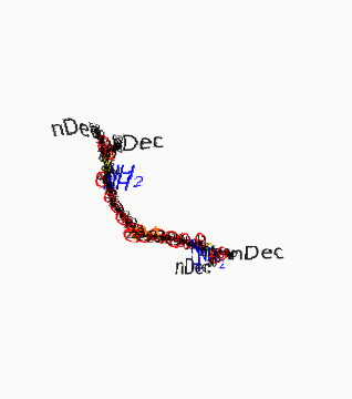 CCCCCCCCCCCCOC[C@H](CSC[C@H](N)C(=O)NCCOCCOCCOCCO[PH](=O)OCCOCCOCCOCCNC(=O)[C@@H](N)CSC[C@@H](COCCCCCCCCCCCC)OCCCCCCCCCCCC)OCCCCCCCCCCCC